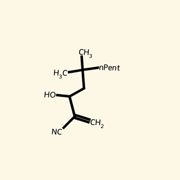 C=C(C#N)C(O)CC(C)(C)CCCCC